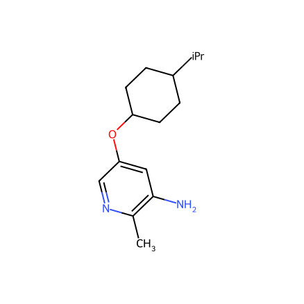 Cc1ncc(OC2CCC(C(C)C)CC2)cc1N